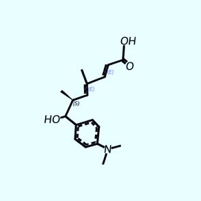 CC(/C=C/C(=O)O)=C\[C@H](C)C(O)c1ccc(N(C)C)cc1